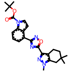 Cn1nc(-c2nc(-c3cccc4c3ccn4C(=O)OC(C)(C)C)no2)c2c1CC(C)(C)CC2